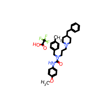 COc1ccc(NC(=O)N(CCCN2CCC(Cc3ccccc3)CC2)Cc2ccc(C)cc2)cc1.O=C(O)C(F)(F)F